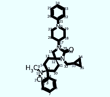 CN(C)[C@]1(c2ccccc2)CC[C@@]2(CC1)CN(C1CCN(c3ccccc3)CC1)C(=O)N2CC1CC1